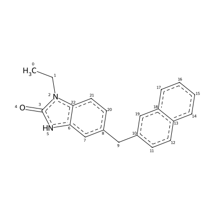 CCn1c(=O)[nH]c2cc(Cc3ccc4ccccc4c3)ccc21